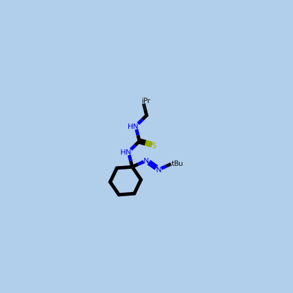 CC(C)CNC(=S)NC1(/N=N/C(C)(C)C)CCCCC1